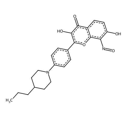 CCCC1CCN(c2ccc(-c3oc4c(N=O)c(O)ccc4c(=O)c3O)cc2)CC1